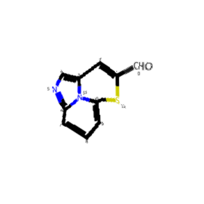 O=CC1=Cc2cnc3cccc(n23)S1